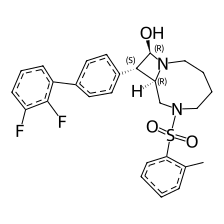 Cc1ccccc1S(=O)(=O)N1CCCCN2[C@H](O)[C@@H](c3ccc(-c4cccc(F)c4F)cc3)[C@@H]2C1